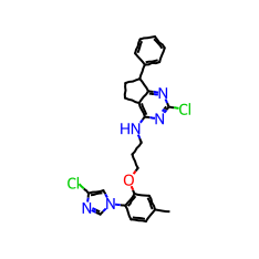 Cc1ccc(-n2cnc(Cl)c2)c(OCCCNc2nc(Cl)nc3c2CCC3c2ccccc2)c1